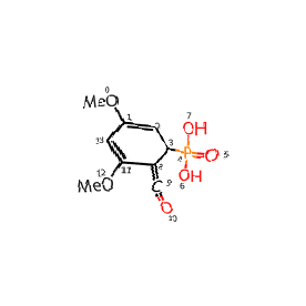 COC1=CC(P(=O)(O)O)C(=C=O)C(OC)=C1